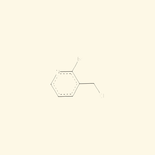 ClCc1cccnc1Br